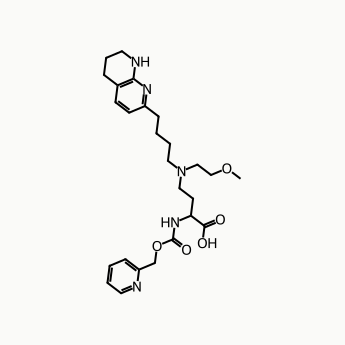 COCCN(CCCCc1ccc2c(n1)NCCC2)CCC(NC(=O)OCc1ccccn1)C(=O)O